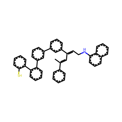 C/C(=C\C(=C/CNc1cccc2ccccc12)c1cccc(-c2cccc(-c3ccccc3-c3ccccc3S)c2)c1)c1ccccc1